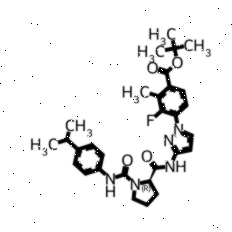 Cc1c(C(=O)OC(C)(C)C)ccc(-n2ccc(NC(=O)[C@H]3CCCN3C(=O)Nc3ccc(C(C)C)cc3)n2)c1F